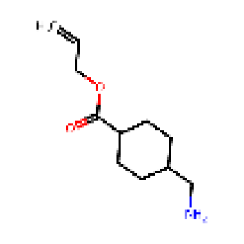 C=CCOC(=O)C1CCC(CN)CC1